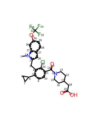 Cn1c(Cc2c(C3CC3)ccc(C(=O)N3CCC(CC(=O)O)CC3)c2Cl)cc2ccc(OC(F)(F)F)cc21